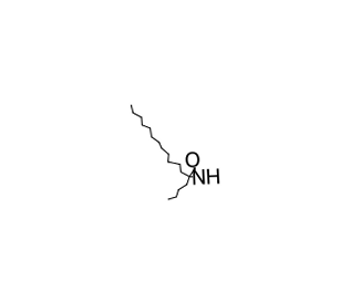 CCCCCCCCCCCCC1(CCCC)NC1=O